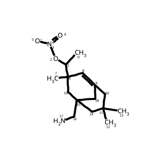 CC(O[N+](=O)[O-])C1(C)C=C2CC(C)(C)CC(CN)(C2)C1